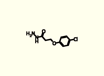 NNC(=O)CCOc1ccc(Cl)cc1